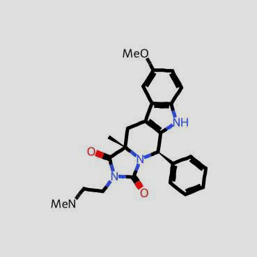 CNCCN1C(=O)N2[C@H](c3ccccc3)c3[nH]c4ccc(OC)cc4c3C[C@@]2(C)C1=O